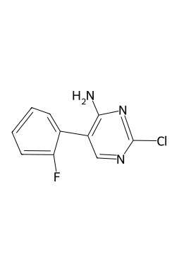 Nc1nc(Cl)ncc1-c1ccccc1F